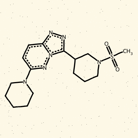 CS(=O)(=O)N1CCCC(c2nnc3ccc(N4CCCCC4)nn23)C1